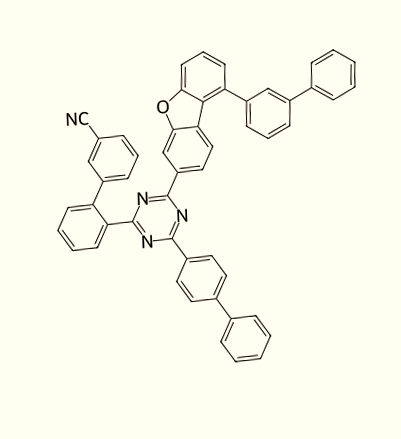 N#Cc1cccc(-c2ccccc2-c2nc(-c3ccc(-c4ccccc4)cc3)nc(-c3ccc4c(c3)oc3cccc(-c5cccc(-c6ccccc6)c5)c34)n2)c1